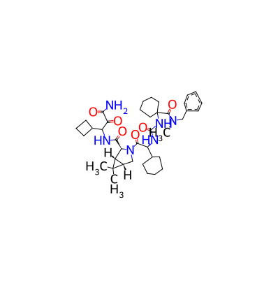 CN(Cc1ccccc1)C(=O)C1(NC(=O)N[C@H](C(=O)N2C[C@H]3[C@@H]([C@H]2C(=O)NC(C(=O)C(N)=O)C2CCC2)C3(C)C)C2CCCCC2)CCCCC1